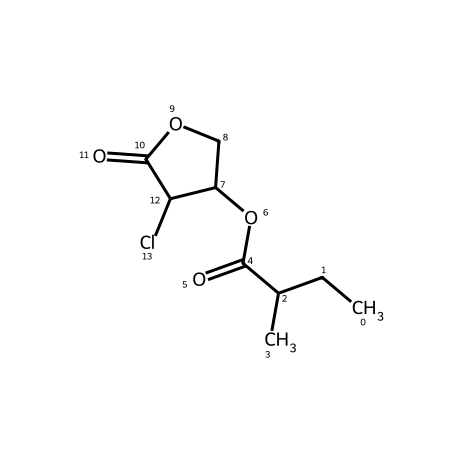 CCC(C)C(=O)OC1COC(=O)C1Cl